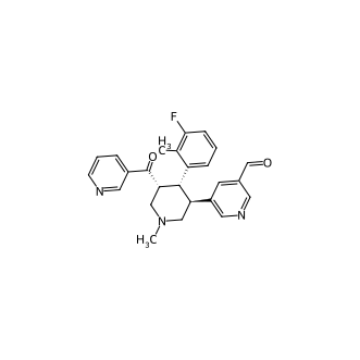 Cc1c(F)cccc1[C@H]1[C@@H](C(=O)c2cccnc2)CN(C)C[C@@H]1c1cncc(C=O)c1